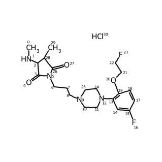 CNC1C(=O)N(CCCN2CCN(c3cc(F)ccc3OCCF)CC2)C(=O)C1C.Cl